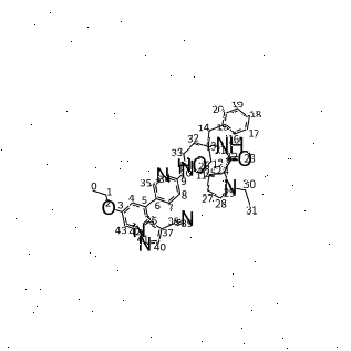 CCOc1cc(-c2ccc(N3CCC(Cc4ccccc4)(NC(=O)[C@@H]4[C@@H](O)CCN4CC)CC3)nc2)c2c(C#N)cnn2c1